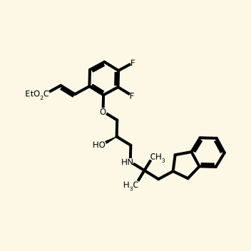 CCOC(=O)C=Cc1ccc(F)c(F)c1OC[C@H](O)CNC(C)(C)CC1Cc2ccccc2C1